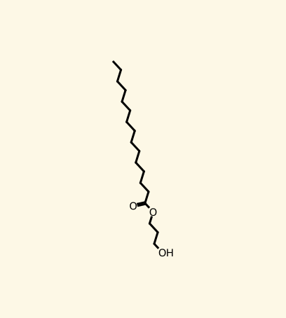 CCCCCCCCCCCCCCC(=O)OCCCO